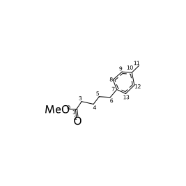 COC(=O)CCCCc1ccc(C)cc1